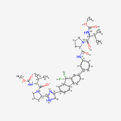 COC(=O)NC(C(=O)N1CCCC1c1nc(-c2ccc3c(c2)C(F)(F)c2cc(-c4cccc(NC(=O)[C@@H]5CCCN5C(=O)[C@@H](NC(=O)OC)C(C)C)c4)ccc2-3)c[nH]1)C(C)C